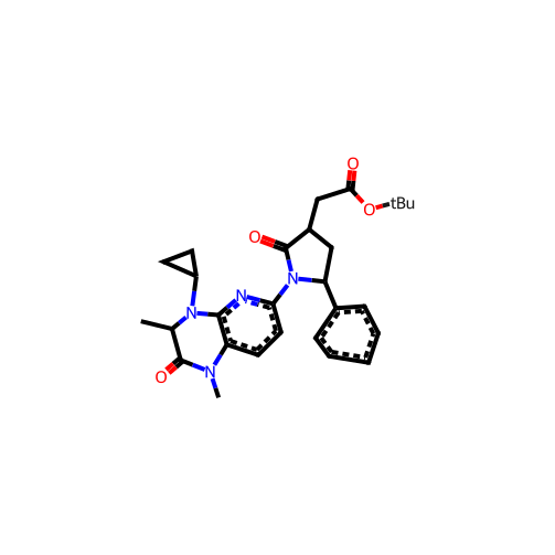 CC1C(=O)N(C)c2ccc(N3C(=O)C(CC(=O)OC(C)(C)C)CC3c3ccccc3)nc2N1C1CC1